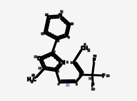 CC=C(/C=C\c1nc(-c2ccncc2)oc1C)C(F)(F)F